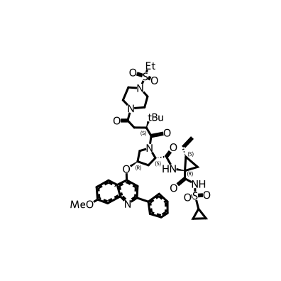 C=C[C@@H]1C[C@]1(NC(=O)[C@@H]1C[C@@H](Oc2cc(-c3ccccc3)nc3cc(OC)ccc23)CN1C(=O)[C@@H](CC(=O)N1CCN(S(=O)(=O)CC)CC1)C(C)(C)C)C(=O)NS(=O)(=O)C1CC1